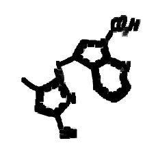 Cc1cc(C(C)(C)C)n[nH]1.O=C(O)n1cc(I)c2cccnc21